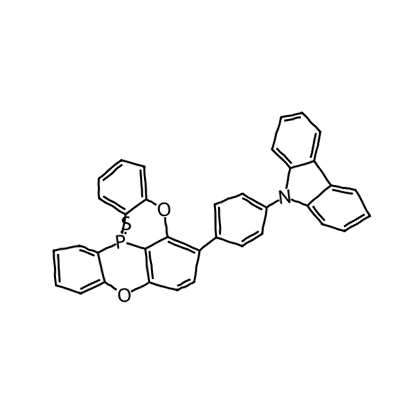 S=P12c3ccccc3Oc3ccc(-c4ccc(-n5c6ccccc6c6ccccc65)cc4)c(c31)Oc1ccccc12